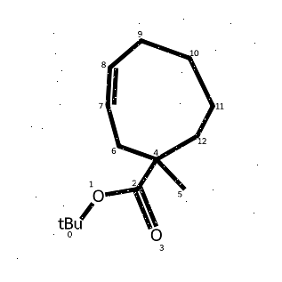 CC(C)(C)OC(=O)C1(C)CC=CCCCC1